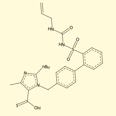 C=CCNC(=O)NS(=O)(=O)c1ccccc1-c1ccc(Cn2c(CCCC)nc(C)c2C(O)=S)cc1